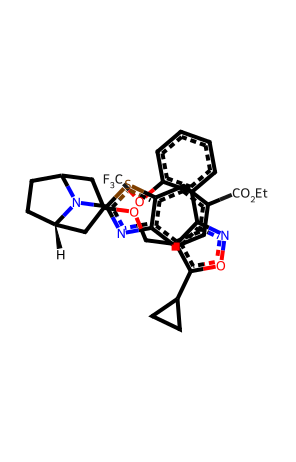 CCOC(=O)c1ccc2nc(N3C4CC[C@H]3CC(OCc3c(-c5ccccc5OC(F)(F)F)noc3C3CC3)C4)sc2c1